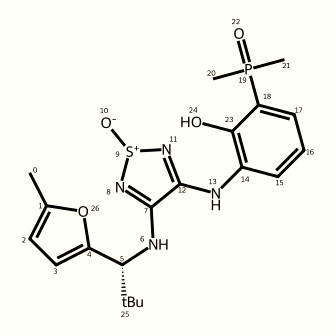 Cc1ccc([C@H](Nc2n[s+]([O-])nc2Nc2cccc(P(C)(C)=O)c2O)C(C)(C)C)o1